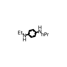 CCCNc1ccc(NCC)cc1